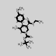 CCOC(=O)[C@H]1CN(C(=O)OC(C)(C)C)CC(C)[C@H]1c1ccc(OC)cc1